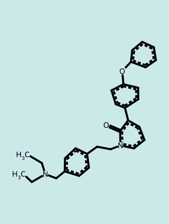 CCN(CC)Cc1ccc(CCn2cccc(-c3ccc(Oc4ccccc4)cc3)c2=O)cc1